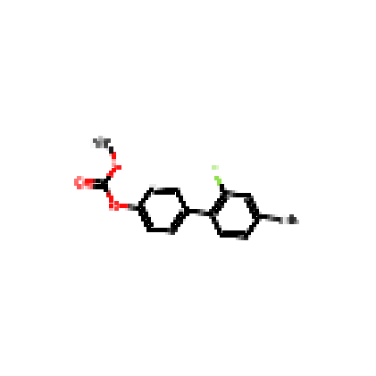 CCCCc1ccc(-c2ccc(OC(=O)OCCC)cc2)c(F)c1